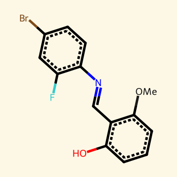 COc1cccc(O)c1C=Nc1ccc(Br)cc1F